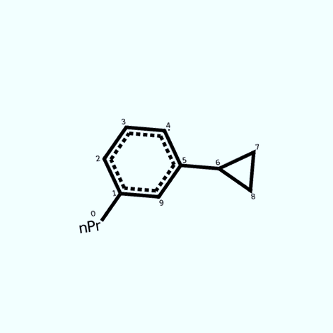 CCCc1cc[c]c(C2CC2)c1